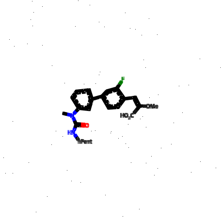 CCCCCNC(=O)N(C)c1cccc(-c2ccc(C=C(OC)C(=O)O)c(F)c2)c1